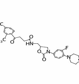 Cc1ccc(C(=O)CCC(=O)NCC2CN(c3ccc(N4CCSCC4)c(F)c3)C(=O)O2)c(C)c1